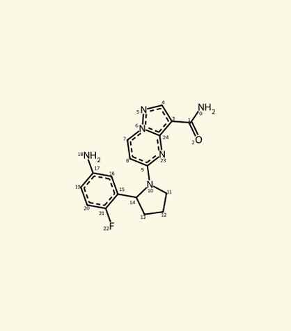 NC(=O)c1cnn2ccc(N3CCCC3c3cc(N)ccc3F)nc12